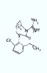 CCc1cccc(Cl)c1N(CC)C(=O)N(C(=N)N)C1CC1